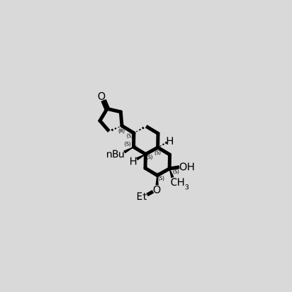 CCCC[C@H]1[C@H]([C@@H]2CCC(=O)C2)CC[C@H]2C[C@](C)(O)[C@@H](OCC)C[C@@H]21